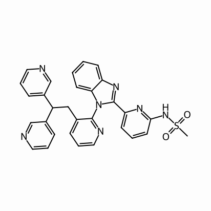 CS(=O)(=O)Nc1cccc(-c2nc3ccccc3n2-c2ncccc2CC(c2cccnc2)c2cccnc2)n1